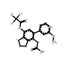 COc1cc(-c2cc(OC(=O)C(F)(F)F)c3c(c2CC(=O)O)CCC3)ccn1